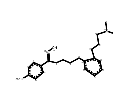 COc1ccc(C(CCCCc2ccccc2CCCN(C)C)=NO)cc1